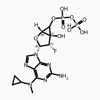 CN(c1nc(N)nc2c1ncn2[C@@H]1O[C@@H]2C(OP(=O)(O)OP(=O)(O)O)[C@]2(O)[C@@H]1F)C1CC1